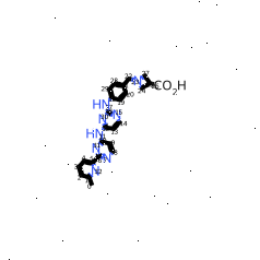 Cc1cccc(-c2nccc(Nc3ccnc(Nc4ccc(CN5CC(C(=O)O)C5)cc4)n3)n2)n1